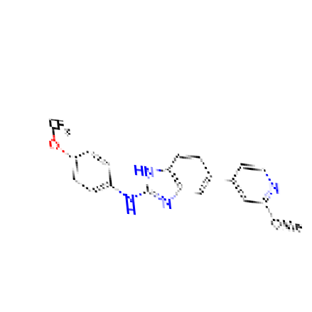 COc1cc(-c2ccc3[nH]c(Nc4ccc(OC(F)(F)F)cc4)nc3c2)ccn1